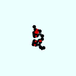 CC1(C)c2ccccc2-c2cc(-c3nc(-c4ccccc4)nc(-c4cccc5c4-c4cc(-c6ccc(-c7cccc(-c8cccc(-c9nc(-c%10cccc%11c%10-c%10ccccc%10C%11(C)C)nc(-c%10cccc%11c%10-c%10ccc(-c%12ccc(-c%13ccccc%13)cc%12)cc%10C%11%10c%11ccccc%11Oc%11ccccc%11%10)n9)c8)c7)cc6)ccc4C54c5ccccc5Oc5ccccc54)n3)ccc21